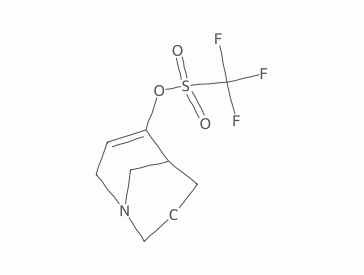 O=S(=O)(OC1=CCN2CCCC1C2)C(F)(F)F